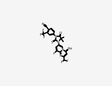 CC1(C)C(=O)N(c2ccc(C#N)c(C(F)(F)F)c2)C(=S)N1c1cc(F)c2nc(C(F)F)cc(=P)n2c1